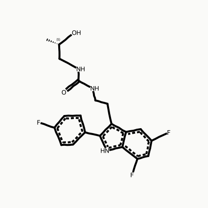 C[C@H](O)CNC(=O)NCCc1c(-c2ccc(F)cc2)[nH]c2c(F)cc(F)cc12